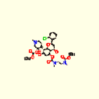 CN1CC[C@H](c2c(O)cc(OC(=O)N(C)CCN(C)C(=O)OC(C)(C)C)c3c(=O)cc(-c4ccccc4Cl)oc23)[C@H](OC(=O)OC(C)(C)C)C1